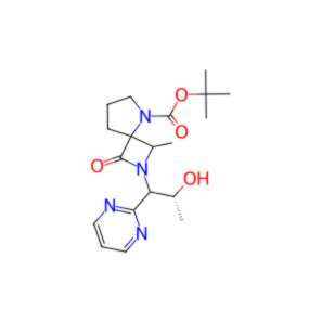 CC1N(C(c2ncccn2)[C@@H](C)O)C(=O)C12CCCN2C(=O)OC(C)(C)C